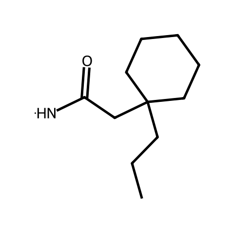 CCCC1(CC([NH])=O)CCCCC1